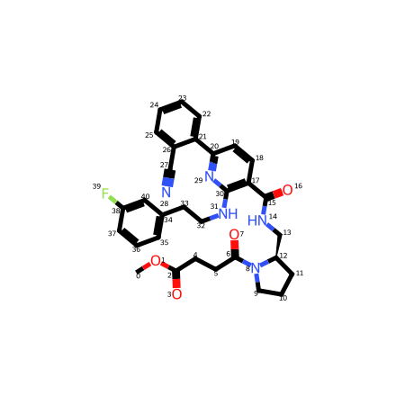 COC(=O)CCC(=O)N1CCC[C@@H]1CNC(=O)c1ccc(-c2ccccc2C#N)nc1NCCc1cccc(F)c1